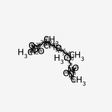 CCN1CC(=O)N(CCCCC(C)(C)CCCCOCCCCC(C)(C)CCCN2C(=O)CN(C)C2=O)C1=O